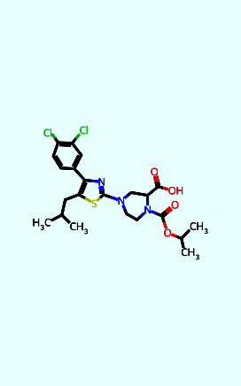 CC(C)Cc1sc(N2CCN(C(=O)OC(C)C)C(C(=O)O)C2)nc1-c1ccc(Cl)c(Cl)c1